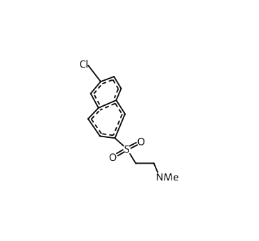 CNCCS(=O)(=O)c1ccc2cc(Cl)ccc2c1